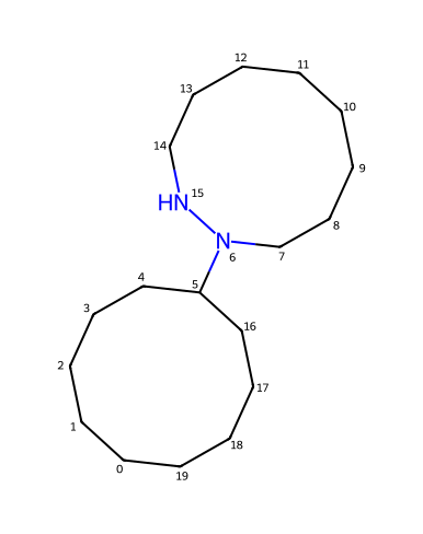 C1CCCCC(N2CCCCCCCCN2)CCCC1